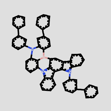 c1ccc(-c2cccc(N3c4cc(-c5ccccc5)ccc4B4c5c3cccc5-n3c5ccccc5c5c3c4cc3c4ccccc4n(-c4cccc(-c6ccccc6)c4)c35)c2)cc1